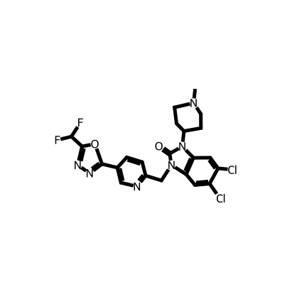 CN1CCC(n2c(=O)n(Cc3ccc(-c4nnc(C(F)F)o4)cn3)c3cc(Cl)c(Cl)cc32)CC1